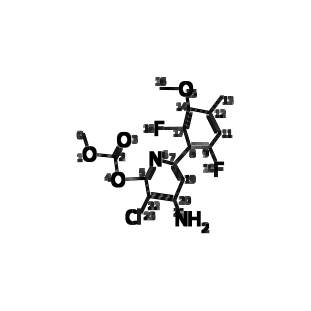 COC(=O)Oc1nc(-c2c(F)cc(C)c(OC)c2F)cc(N)c1Cl